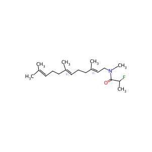 CC(C)=CCC/C(C)=C/CC/C(C)=C/CN(C)C(=O)C(C)F